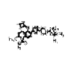 C[C@H]1CCc2c(ccc(-c3c[nH]c(C4CCN(C(=O)OC(C)(C)C)CC4)n3)c2OC2CCC2)N1C(=O)O